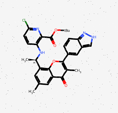 Cc1cc([C@@H](C)Nc2ccc(Cl)nc2C(=O)OC(C)(C)C)c2oc(-c3ccc4n[nH]cc4c3)c(C)c(=O)c2c1